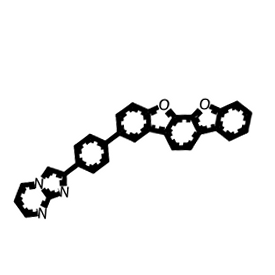 c1ccc2c(c1)oc1c2ccc2c3cc(-c4ccc(-c5cn6cccnc6n5)cc4)ccc3oc21